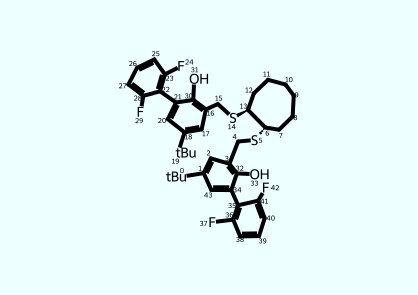 CC(C)(C)c1cc(CS[C@H]2CCCCCC[C@@H]2SCc2cc(C(C)(C)C)cc(-c3c(F)cccc3F)c2O)c(O)c(-c2c(F)cccc2F)c1